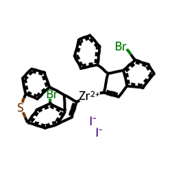 Brc1cccc2c1C(c1ccccc1)[C]([Zr+2][C]1=Cc3cc4cc(Br)c3C1c1cccc(c1)S4)=C2.[I-].[I-]